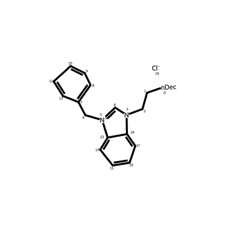 CCCCCCCCCCCCn1c[n+](Cc2ccccc2)c2ccccc21.[Cl-]